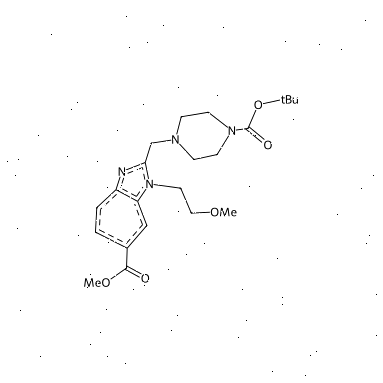 COCCn1c(CN2CCN(C(=O)OC(C)(C)C)CC2)nc2ccc(C(=O)OC)cc21